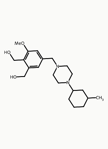 COc1cc(CN2CCN(C3CCCC(C)C3)CC2)cc(CO)c1CO